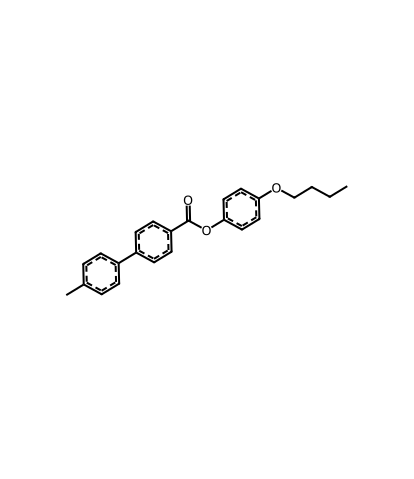 CCCCOc1ccc(OC(=O)c2ccc(-c3ccc(C)cc3)cc2)cc1